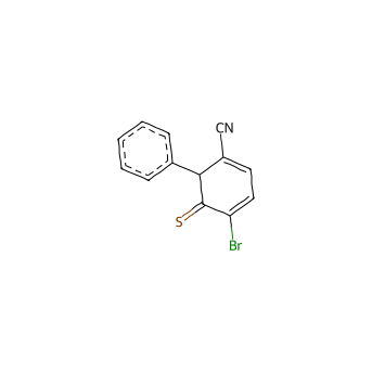 N#CC1=CC=C(Br)C(=S)C1c1ccccc1